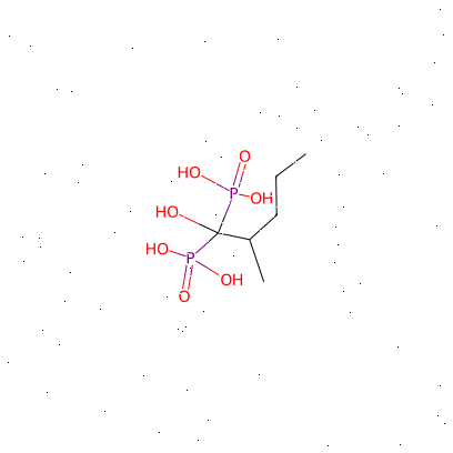 CCCC(C)C(O)(P(=O)(O)O)P(=O)(O)O